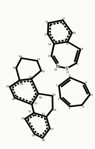 C1=CC=CCC=C1.C1=Cc2ccccc2C=NS1.c1ccc2c(c1)CCc1c-2ccc2c1CCCC2